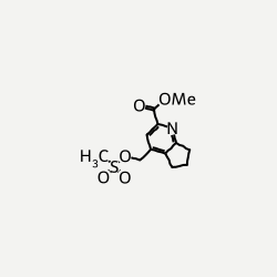 COC(=O)c1cc(COS(C)(=O)=O)c2c(n1)CCC2